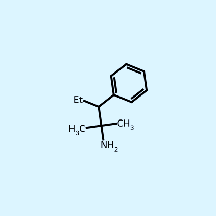 CCC(c1ccccc1)C(C)(C)N